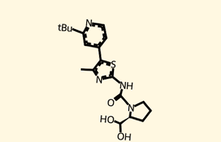 Cc1nc(NC(=O)N2CCC[C@H]2C(O)O)sc1-c1ccnc(C(C)(C)C)c1